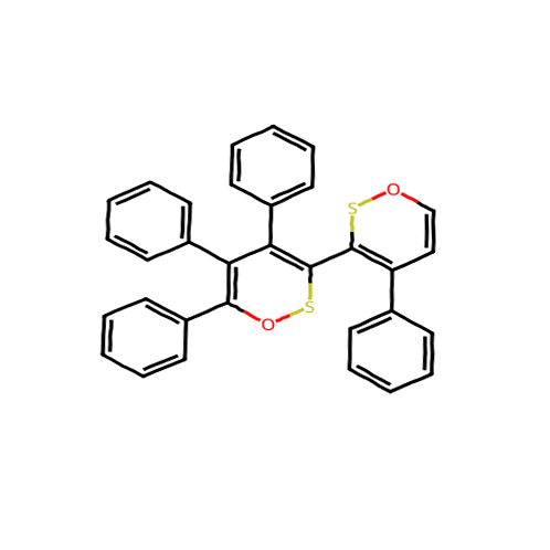 C1=CC(c2ccccc2)=C(C2=C(c3ccccc3)C(c3ccccc3)=C(c3ccccc3)OS2)SO1